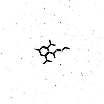 CCN=CC(C)C1=C(C(C)C)CC(F)C=C1C(C)C